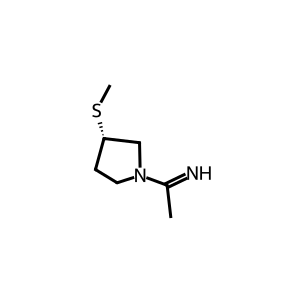 CS[C@H]1CCN(C(C)=N)C1